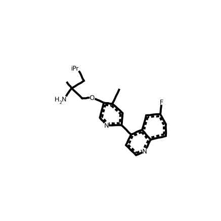 Cc1cc(-c2ccnc3ccc(F)cc23)ncc1OCC(C)(N)CC(C)C